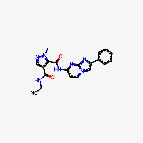 Cn1ncc(C(=O)NCC#N)c1C(=O)Nc1ccn2cc(-c3ccccc3)nc2n1